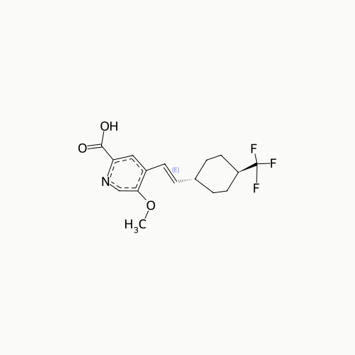 COc1cnc(C(=O)O)cc1/C=C/[C@H]1CC[C@H](C(F)(F)F)CC1